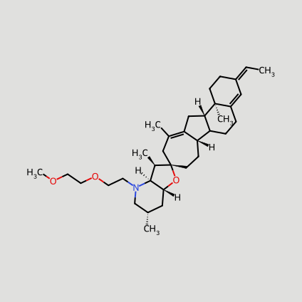 CC=C1C=C2CCC3[C@@H]4CC[C@@]5(CC(C)=C4C[C@@H]3[C@@]2(C)CC1)O[C@@H]1C[C@H](C)CN(CCOCCOC)[C@H]1[C@H]5C